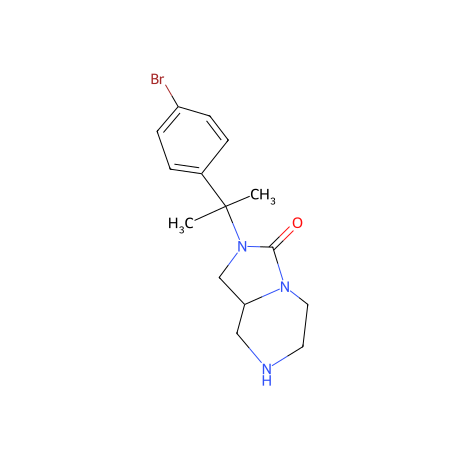 CC(C)(c1ccc(Br)cc1)N1CC2CNCCN2C1=O